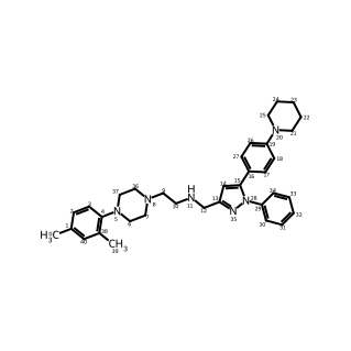 Cc1ccc(N2CCN(CCNCc3cc(-c4ccc(N5CCCCC5)cc4)n(-c4ccccc4)n3)CC2)c(C)c1